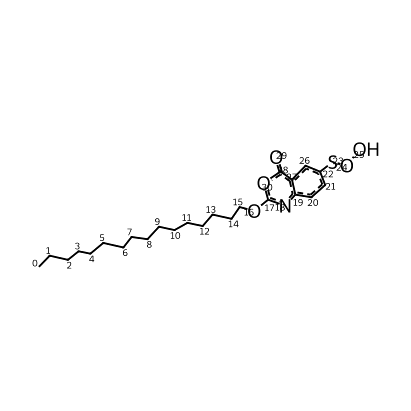 CCCCCCCCCCCCCCCCOc1nc2ccc(SOO)cc2c(=O)o1